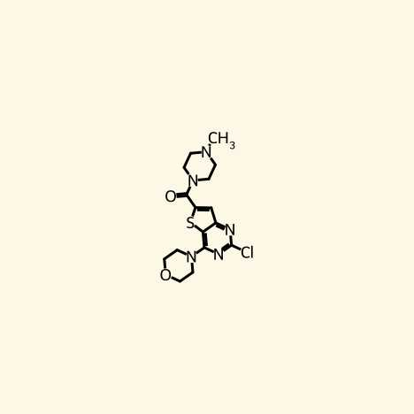 CN1CCN(C(=O)c2cc3nc(Cl)nc(N4CCOCC4)c3s2)CC1